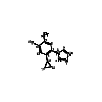 CC(C)c1cc(-n2cnnn2)c(C2CC2)cc1F